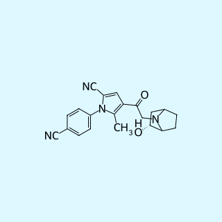 Cc1c(C(=O)CN2C3CCC2[C@H](O)C3)cc(C#N)n1-c1ccc(C#N)cc1